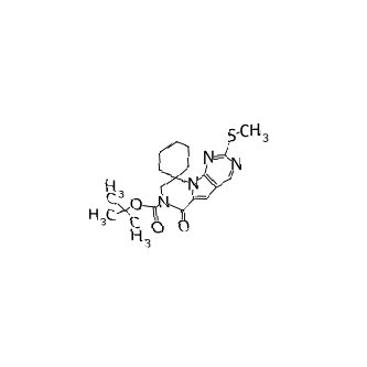 CSc1ncc2cc3n(c2n1)C1(CCCCC1)CN(C(=O)OC(C)(C)C)C3=O